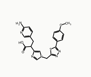 COc1ccc(-c2nnc(Cn3cnc(C(Cc4ccc(N)nc4)C(=O)O)c3)s2)cc1